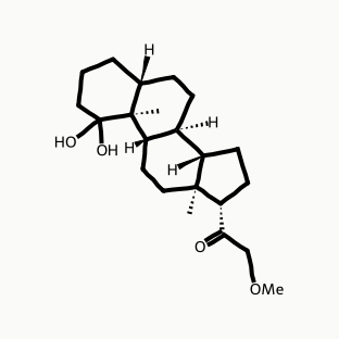 COCC(=O)[C@H]1CC[C@H]2[C@@H]3CC[C@H]4CCCC(O)(O)[C@]4(C)[C@H]3CC[C@]12C